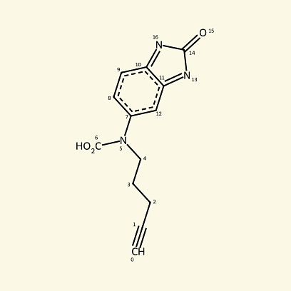 C#CCCCN(C(=O)O)c1ccc2c(c1)=NC(=O)N=2